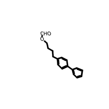 O=COCCCCc1ccc(-c2ccccc2)cc1